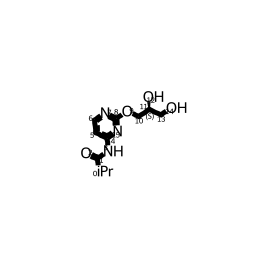 CC(C)C(=O)Nc1ccnc(OC[C@@H](O)CO)n1